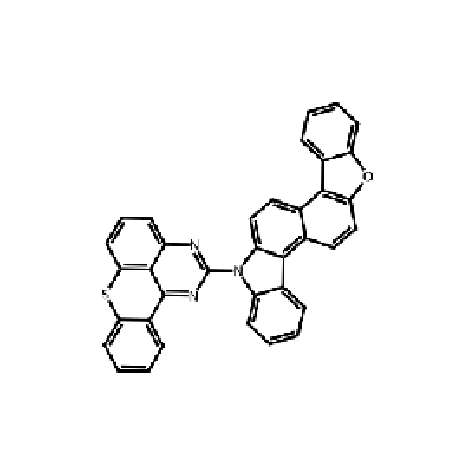 c1ccc2c(c1)Sc1cccc3nc(-n4c5ccccc5c5c6ccc7oc8ccccc8c7c6ccc54)nc-2c13